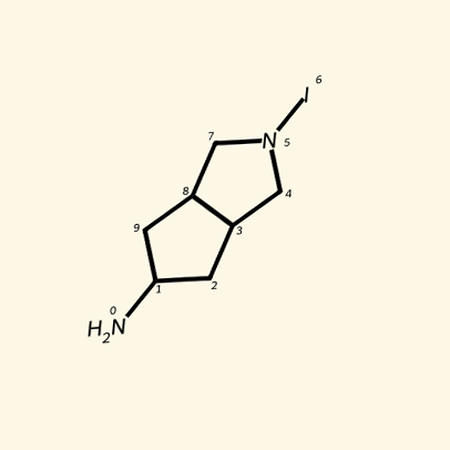 NC1CC2CN(I)CC2C1